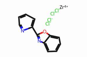 [Cl-].[Cl-].[Cl-].[Cl-].[Zr+4].c1ccc(-c2nc3ccccc3o2)nc1